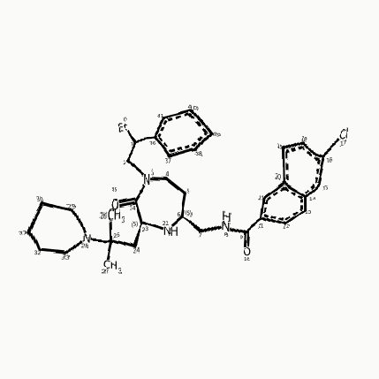 CCC(CN1CC[C@@H](CNC(=O)c2ccc3cc(Cl)ccc3c2)N[C@@H](CC(C)(C)N2CCCCC2)C1=O)c1ccccc1